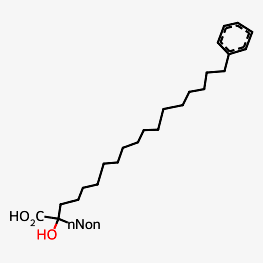 CCCCCCCCCC(O)(CCCCCCCCCCCCCCCCc1ccccc1)C(=O)O